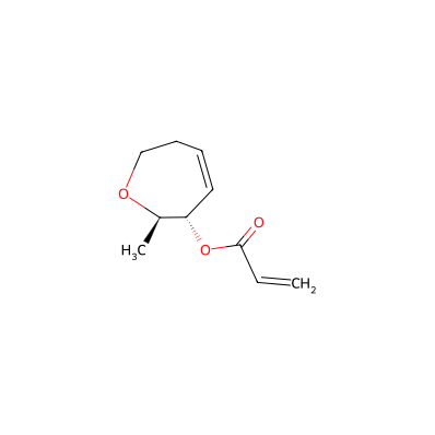 C=CC(=O)O[C@H]1C=CCCO[C@@H]1C